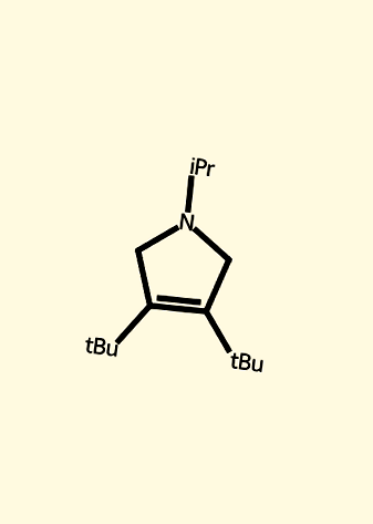 CC(C)N1CC(C(C)(C)C)=C(C(C)(C)C)C1